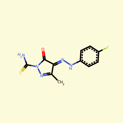 CC1=NN(C(N)=S)C(=O)/C1=N/Nc1ccc(F)cc1